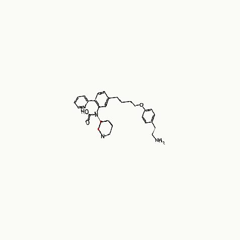 NCCc1ccc(OCCCCc2ccc(-c3ccccc3)c(N(C(=O)O)C3CN4CCC3CC4)c2)cc1